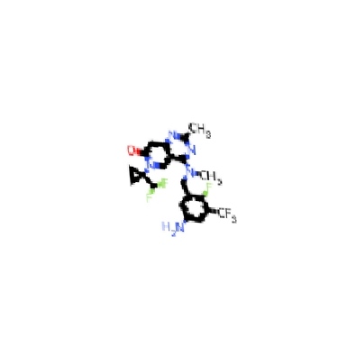 Cc1nc(N(C)Cc2cc(N)cc(C(F)(F)F)c2F)c2cn(C3(C(F)F)CC3)c(=O)cc2n1